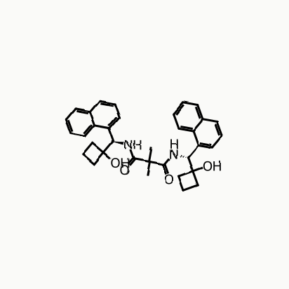 CC(C)(C(=O)N[C@H](c1cccc2ccccc12)C1(O)CCC1)C(=O)N[C@H](c1cccc2ccccc12)C1(O)CCC1